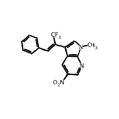 Cn1cc(C(=Cc2ccccc2)C(F)(F)F)c2cc([N+](=O)[O-])cnc21